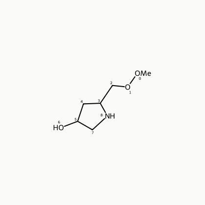 COOCC1CC(O)CN1